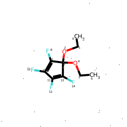 CCOC1(OCC)C(F)=C(F)C(F)=C1F